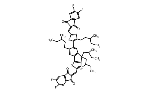 CCC(C)CCc1cc2c(cc1-c1sc(C=C3C(=O)c4cc(F)c(F)cc4C3=O)cc1CCC(C)CC)C(CC(C)CC)(CC(C)CC)c1cc(C=C3C(=O)c4cc(F)c(F)cc4C3=O)sc1-2